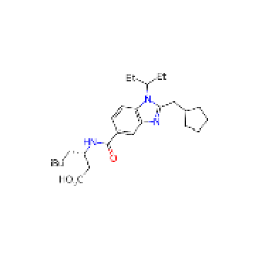 CCC(C)C[C@@H](CC(=O)O)NC(=O)c1ccc2c(c1)nc(CC1CCCC1)n2C(CC)CC